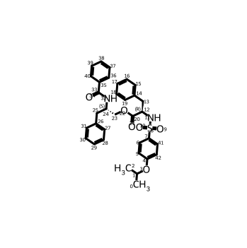 CC(C)Oc1ccc(S(=O)(=O)N[C@H](Cc2ccccc2)C(=O)OC[C@H](Cc2ccccc2)NC(=O)c2ccccc2)cc1